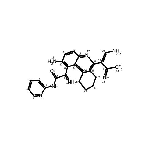 N=C(C(=O)Nc1ccccn1)c1c(N)ccc2nc(/C(=C/N)C(=N)C(F)(F)F)c3c(c12)CCCC3